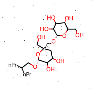 CCCC(CCC)CO[C@@H]1OC(CO)(CO[C@H]2OC(CO)[C@@H](O)C(O)C2O)CC(O)C1O